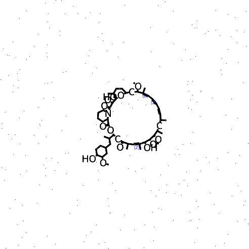 COC1CC2CCC(C)C(O)(O2)C(=O)C(=O)N2CCCCC2C(=O)OC(C(C)CC2CCC(O)C(OC)C2)CC(=O)C(C)/C=C(/C)C(O)C(OC)C(=O)C(C)CC(C)C=C/C=C\C=C/1C